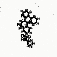 O=S(=O)(Nc1ncns1)c1ccc2c(c1)C(F)(F)CC[C@@H]2N1CCCC[C@H]1c1cccnc1